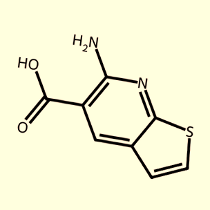 Nc1nc2sccc2cc1C(=O)O